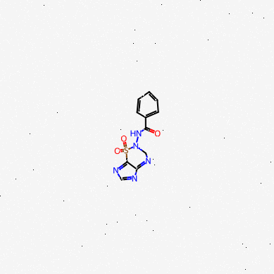 O=C(NN1CN=C2N=CN=C2S1(=O)=O)c1ccccc1